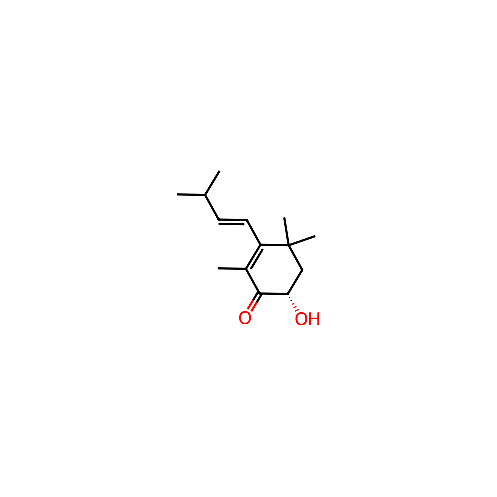 CC1=C(/C=C/C(C)C)C(C)(C)C[C@H](O)C1=O